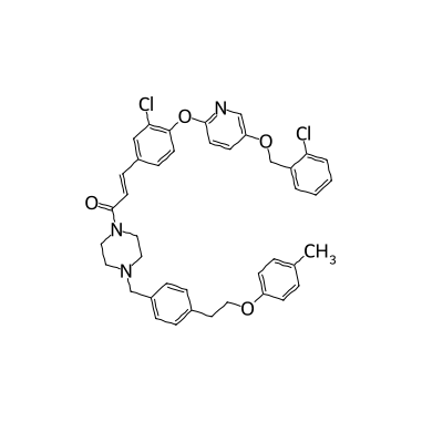 Cc1ccc(OCCc2ccc(CN3CCN(C(=O)C=Cc4ccc(Oc5ccc(OCc6ccccc6Cl)cn5)c(Cl)c4)CC3)cc2)cc1